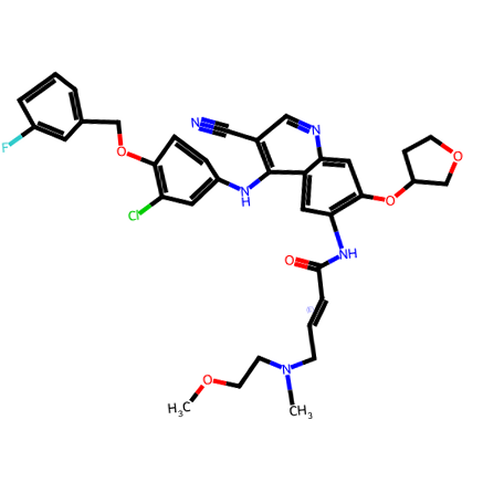 COCCN(C)C/C=C/C(=O)Nc1cc2c(Nc3ccc(OCc4cccc(F)c4)c(Cl)c3)c(C#N)cnc2cc1OC1CCOC1